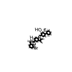 Cc1c(C)n(Cc2ccc(-c3ccccc3C(=O)O)cc2)c2ccc(C(=O)N[C@@H](C)c3cccc(Br)c3)cc12